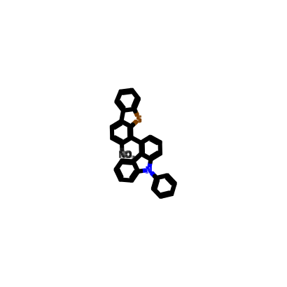 O=[N+]([O-])c1ccc2c(sc3ccccc32)c1-c1cccc2c1c1ccccc1n2-c1ccccc1